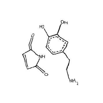 NCCc1ccc(O)c(O)c1.O=C1C=CC(=O)N1